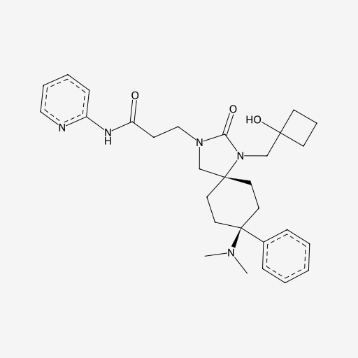 CN(C)[C@]1(c2ccccc2)CC[C@@]2(CC1)CN(CCC(=O)Nc1ccccn1)C(=O)N2CC1(O)CCC1